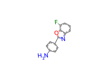 Nc1ccc(-c2nc3cccc(F)c3o2)cc1